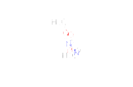 CCCCOC(=O)C1CCCCn2c(C(=O)c3cccn3C)ccc21